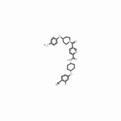 Cc1ccc(OC2CCN(C(=O)c3ccc(C(=O)N[C@H]4CC[C@@H](Oc5ccc(C#N)c(F)c5)CC4)nc3)CC2)cc1